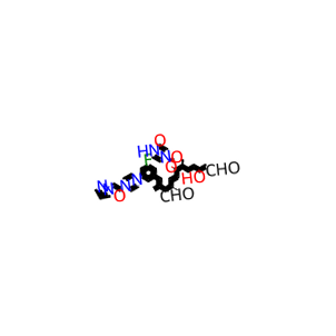 C/C(=C\c1cc(F)cc(N2CCN(C(=O)Cn3cccn3)CC2)c1)[C@@H](C=O)[C@@H](C)/C=C/[C@H](OC(=O)N1CCNC(=O)C1)[C@@H](C)CC[C@@H](O)CC=O